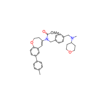 COC(=O)N(Cc1ccc(CN(C)C2CCOCC2)cc1)C1=Cc2cc(-c3ccc(C)cc3)ccc2OCC1